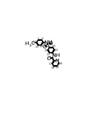 Cc1ccc(NS(=O)(=O)c2ccc(NC(=O)c3ccccn3)cc2)cc1